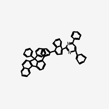 c1ccc(-c2cc(-c3ccccc3)nc(-c3ccc(-c4cccc(-c5cccc6c5C(c5ccccc5)(c5ccccc5)c5ccc7ccccc7c5-6)c4)c4ccccc34)n2)cc1